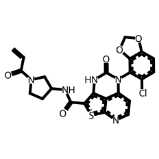 C=CC(=O)N1CCC(NC(=O)c2sc3nccc4c3c2NC(=O)N4c2c(Cl)ccc3c2OCO3)C1